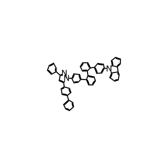 c1ccc(-c2ccc(-c3cc(-c4ccccc4)nn3-c3ccc(-c4ccccc4-c4ccccc4-c4ccc(-n5c6ccccc6c6ccccc65)cc4)cc3)cc2)cc1